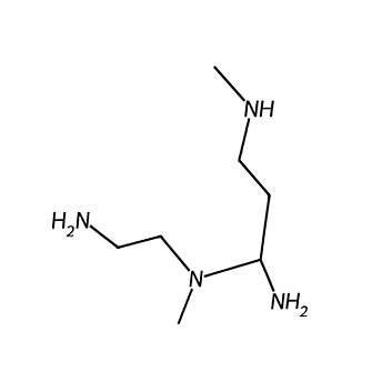 CNCCC(N)N(C)CCN